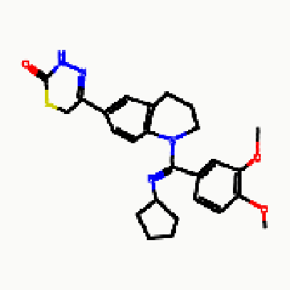 COc1ccc(C(=NC2CCCC2)N2CCCc3cc(C4=NNC(=O)SC4)ccc32)cc1OC